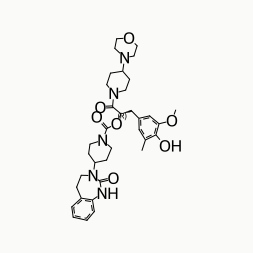 COc1cc(C[C@@H](OC(=O)N2CCC(N3CCc4ccccc4NC3=O)CC2)C(=O)N2CCC(N3CCOCC3)CC2)cc(C)c1O